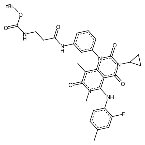 Cc1ccc(Nc2c3c(=O)n(C4CC4)c(=O)n(-c4cccc(NC(=O)CCNC(=O)OC(C)(C)C)c4)c3c(C)c(=O)n2C)c(F)c1